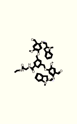 CCNC(=O)CNC(=O)c1cc(COc2cc(/N=C\C3Cc4ccccc4N3C)c(C=O)cc2OC)cc(COc2cc(/N=C\[C@@H]3Cc4ccccc4N3C)c(C=O)cc2OC)c1